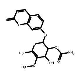 COC1=C(C)OC(Oc2ccc3ccc(=O)oc3c2)C(OC(N)=O)C1O